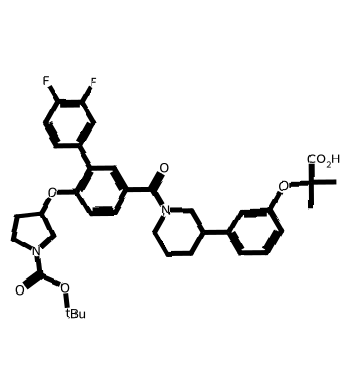 CC(C)(C)OC(=O)N1CCC(Oc2ccc(C(=O)N3CCCC(c4cccc(OC(C)(C)C(=O)O)c4)C3)cc2-c2ccc(F)c(F)c2)C1